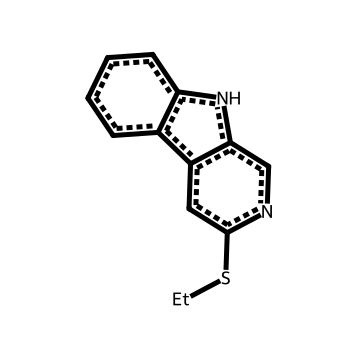 CCSc1cc2c(cn1)[nH]c1ccccc12